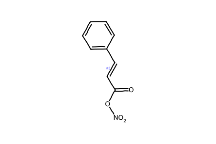 O=C(/C=C/c1ccccc1)O[N+](=O)[O-]